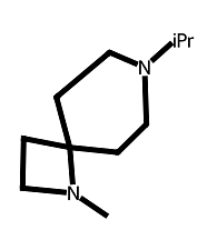 CC(C)N1CCC2(CC1)CCN2C